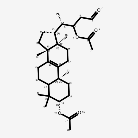 CC(=O)OC(CC=O)[C@@H](C)[C@H]1CC[C@@]2(C)C3=C(CC[C@]12C)[C@@]1(C)CC[C@H](OC(C)=O)C(C)(C)C1CC3